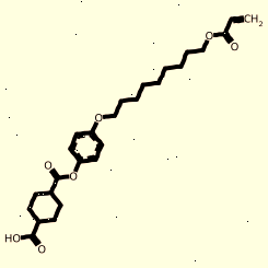 C=CC(=O)OCCCCCCCCCOc1ccc(OC(=O)C2CCC(C(=O)O)CC2)cc1